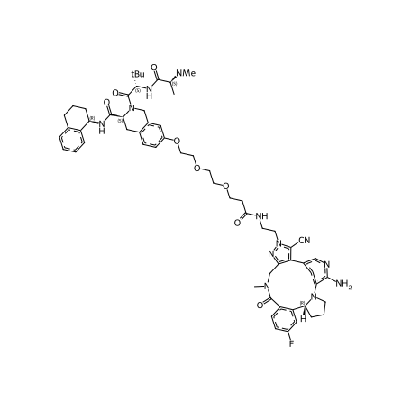 CN[C@@H](C)C(=O)N[C@H](C(=O)N1Cc2cc(OCCOCCOCCC(=O)NCCn3nc4c(c3C#N)-c3cnc(N)c(c3)N3CCC[C@@H]3c3cc(F)ccc3C(=O)N(C)C4)ccc2C[C@H]1C(=O)N[C@@H]1CCCc2ccccc21)C(C)(C)C